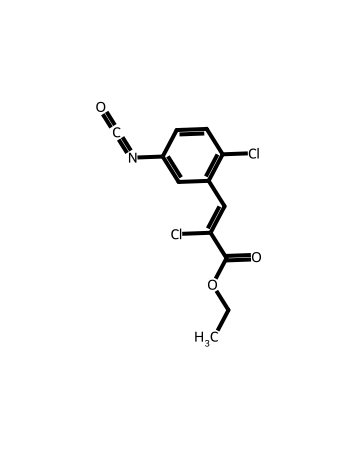 CCOC(=O)C(Cl)=Cc1cc(N=C=O)ccc1Cl